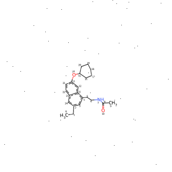 CCc1cc(CCNC(C)=O)c2cc(OC3CCCCC3)ccc2c1